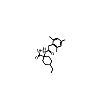 CCC1CCC(NC(=O)Cc2c(C)cc(C)cc2C)(C(=O)O)CC1